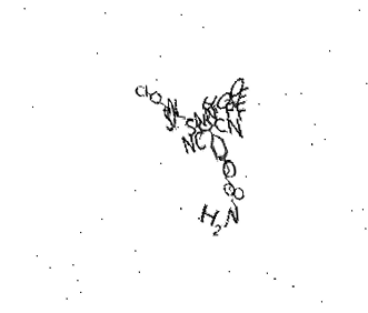 N#Cc1c(SCc2csc(-c3ccc(Cl)cc3)n2)nc(N2CCC2)c(C#N)c1-c1ccc(OCCOC(=O)CCN)cc1.O=C(O)C(F)(F)F